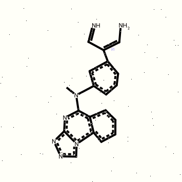 CN(c1cccc(/C(C=N)=C/N)c1)c1nc2nncn2c2ccccc12